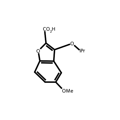 COc1ccc2oc(C(=O)O)c(OC(C)C)c2c1